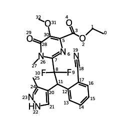 CCOC(=O)c1nc(C(F)(F)C(c2ccccc2C#N)c2c[nH]nc2C)n(C)c(=O)c1OC